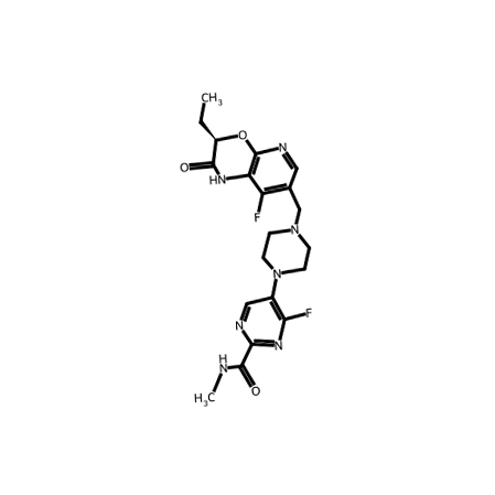 CC[C@H]1Oc2ncc(CN3CCN(c4cnc(C(=O)NC)nc4F)CC3)c(F)c2NC1=O